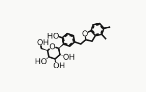 Cc1ccc2c(c1C)CC(Cc1ccc(O)c([C@@H]3O[C@H](CO)[C@@H](O)[C@H](O)[C@H]3O)c1)O2